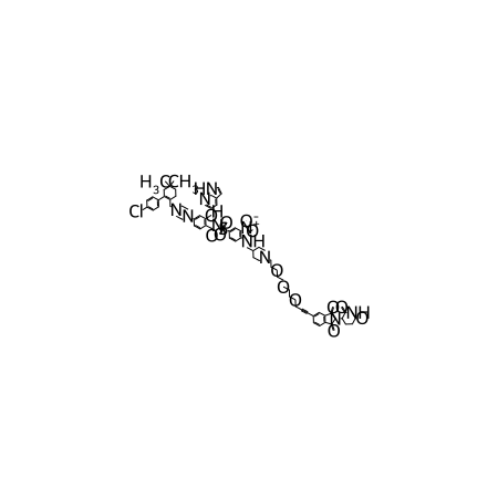 CC1(C)CCC(CN2CCN(c3ccc(C(=O)NS(=O)(=O)c4ccc(NCC5CCN(CCOCCOCCOCC#Cc6ccc7c(c6)C(=O)N(C6CCC(=O)NC6=O)C7=O)CC5)c([N+](=O)[O-])c4)c(Oc4cnc5[nH]ccc5c4)c3)CC2)=C(c2ccc(Cl)cc2)C1